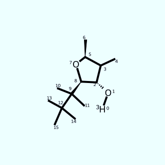 [3H]O[C@H]1C(C)[C@H](C)O[C@@H]1C(C)(C)C(C)(C)C